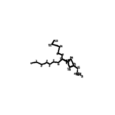 CCCCCCCC(CCCCC)N1CC(CN)C1